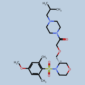 COc1cc(C)c(S(=O)(=O)N2CCOC[C@H]2COCC(=O)N2CCN(CC(C)C)CC2)c(C)c1